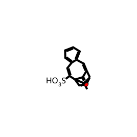 CC1(C)C2CCC13C(=O)/C2=C\c1ccccc1/C=C\3S(=O)(=O)O